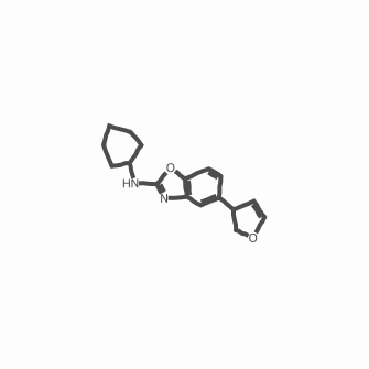 C1=CC(c2ccc3oc(NC4CCCCC4)nc3c2)CO1